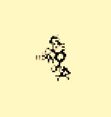 CCCCOc1c(C(=O)N2CCSC2=S)cccc1C(=O)N1CCSC1=S